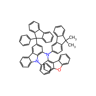 CC1(C)c2ccccc2-c2cc(N(c3cccc4oc5ccccc5c34)c3cc(C4(c5ccccc5)c5ccccc5-c5ccccc54)cc4c5ccccc5n(-c5ccccc5)c34)ccc21